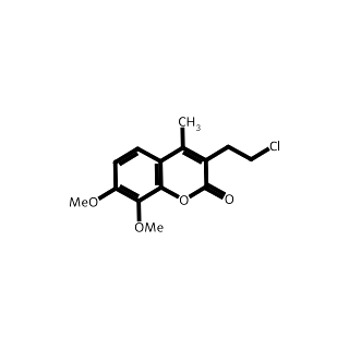 COc1ccc2c(C)c(CCCl)c(=O)oc2c1OC